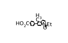 CCC(=O)n1ccc2c(C)c(-c3ccc(C(=O)O)cc3)ccc21